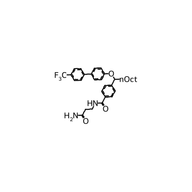 CCCCCCCCC(Oc1ccc(-c2ccc(C(F)(F)F)cc2)cc1)c1ccc(C(=O)NCCC(N)=O)cc1